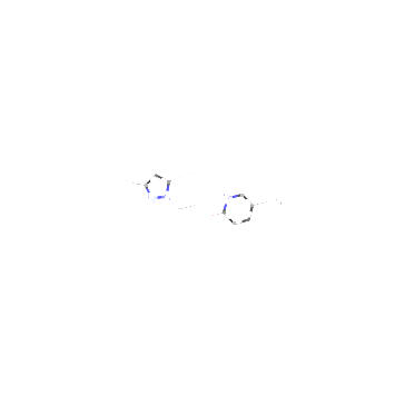 N#Cc1ccc(OCCn2nc(C(F)(F)F)cc2O)nc1